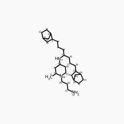 CC1CC(NC(CCCC2CC3CCC2C3)CCCC2CC3CCC2C3)CCN1CCCN